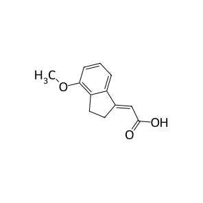 COc1cccc2c1CCC2=CC(=O)O